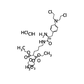 CCOP(=O)(OCC)C(CCCCNC(=O)[C@@H](N)Cc1ccc(N(CCCl)CCCl)cc1)P(=O)(OCC)OCC.Cl.Cl